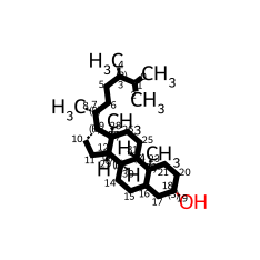 CC(C)[C@H](C)CC[C@@H](C)[C@H]1CC[C@H]2[C@@H]3CCC4C[C@@H](O)CC[C@]4(C)[C@H]3CC[C@]12C